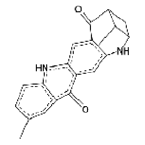 Cc1ccc2[nH]c3cc4c(cc3c(=O)c2c1)NC1CC(C4=O)C1C